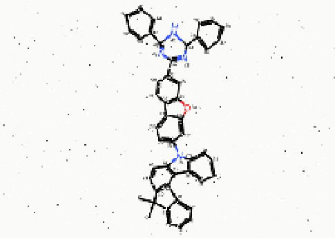 CC1(C)c2ccccc2-c2c1ccc1c2c2ccccc2n1-c1ccc2c(c1)oc1cc(C3=NC(c4ccccc4)NC(c4ccccc4)=N3)ccc12